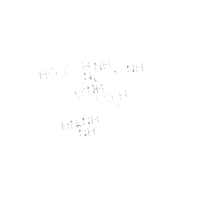 N=C(N)NCCC[C@H](NC(=O)[C@H](CCC(=O)O)NC(=O)[C@@H](N)CCCCN)C(=O)O